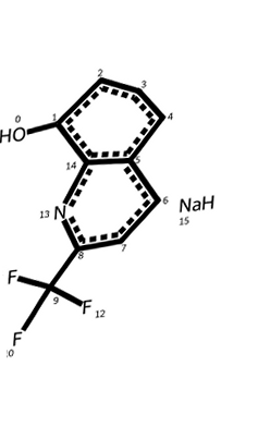 Oc1cccc2ccc(C(F)(F)F)nc12.[NaH]